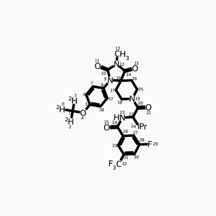 [2H]C([2H])([2H])Oc1ccc(N2C(=O)N(C)C(=O)C23CCN(C(=O)C(NC(=O)c2cc(F)cc(C(F)(F)F)c2)C(C)C)CC3)cc1